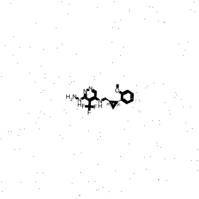 COc1ccccc1[C@@H]1C[C@H]1CNc1cnnc(NN)c1C(F)(F)F